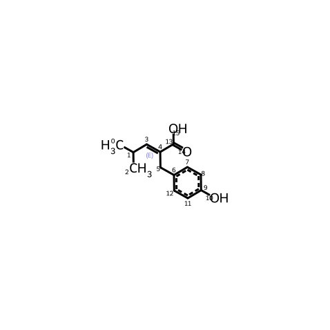 CC(C)/C=C(\Cc1ccc(O)cc1)C(=O)O